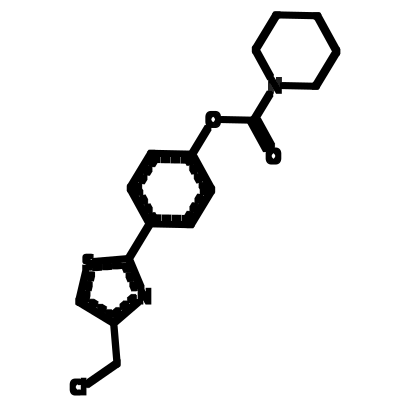 O=C(Oc1ccc(-c2nc(CCl)cs2)cc1)N1CCCCC1